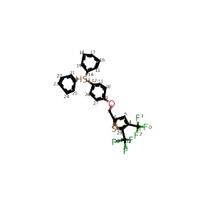 FC(F)(F)c1cc(COc2ccc([SH](c3ccccc3)c3ccccc3)cc2)sc1C(F)(F)F